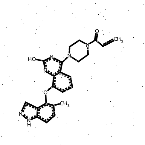 C=CC(=O)N1CCN(c2nc(O)nc3c(Oc4c(C)ccc5[nH]ncc45)cccc23)CC1